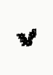 Cc1ccc(Cn2c(C)c(C)c3ccnc(SCc4ccc(Cl)cc4)c32)cc1